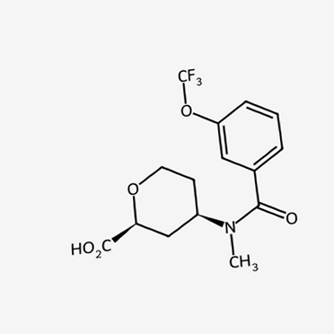 CN(C(=O)c1cccc(OC(F)(F)F)c1)[C@@H]1CCO[C@H](C(=O)O)C1